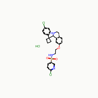 Cl.O=S(=O)(NCCOc1ccc2c(c1)C(C1(c3ccc(Cl)cc3)CCC1)NCC2)c1ccc(Cl)nc1